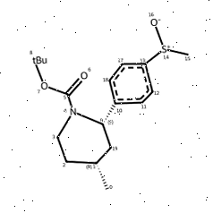 C[C@@H]1CCN(C(=O)OC(C)(C)C)[C@H](c2ccc([S+](C)[O-])cc2)C1